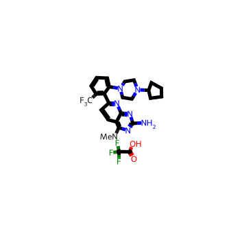 CNc1nc(N)nc2nc(-c3c(N4CCN(C5CCCC5)CC4)cccc3C(F)(F)F)ccc12.O=C(O)C(F)(F)F